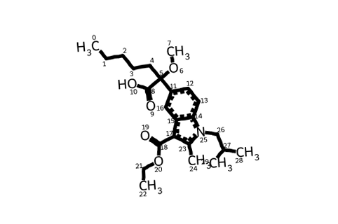 CCCCCC(OC)(C(=O)O)c1ccc2c(c1)c(C(=O)OCC)c(C)n2CC(C)C